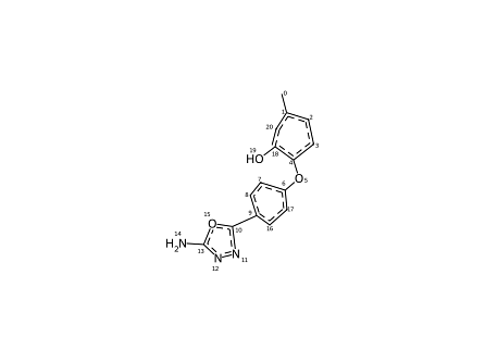 Cc1ccc(Oc2ccc(-c3nnc(N)o3)cc2)c(O)c1